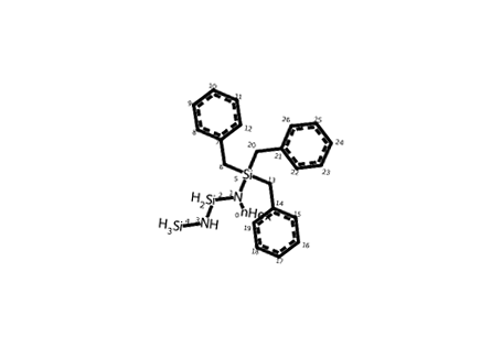 CCCCCCN([SiH2]N[SiH3])[Si](Cc1ccccc1)(Cc1ccccc1)Cc1ccccc1